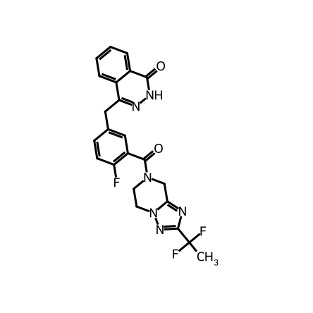 CC(F)(F)c1nc2n(n1)CCN(C(=O)c1cc(Cc3n[nH]c(=O)c4ccccc34)ccc1F)C2